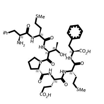 CSCC[C@H](NC(=O)[C@H](CCC(=O)O)NC(=O)[C@@H]1CCCN1C(=O)[C@@H](NC(=O)[C@H](CCSC)NC(=O)[C@@H](N)CC(C)C)[C@@H](C)O)C(=O)N[C@@H](Cc1ccccc1)C(=O)O